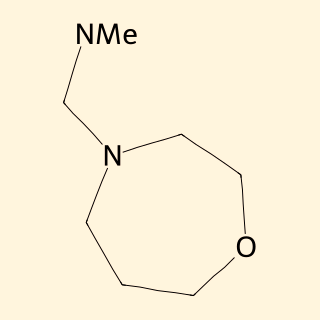 CNCN1CCCOCC1